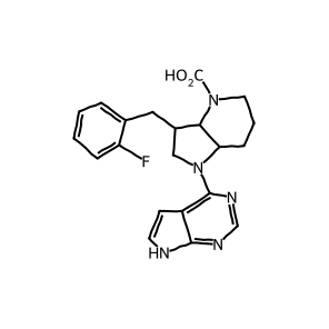 O=C(O)N1CCCC2C1C(Cc1ccccc1F)CN2c1ncnc2[nH]ccc12